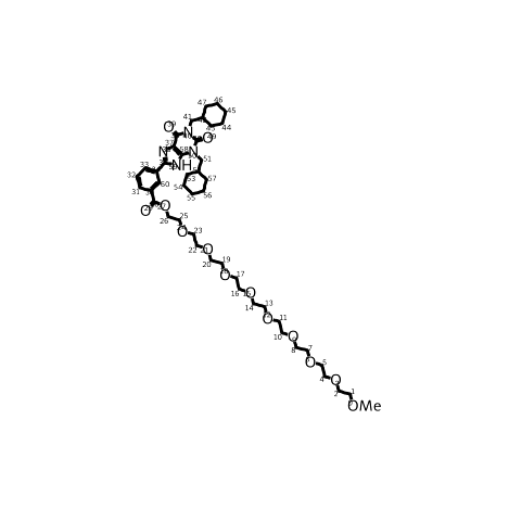 COCCOCCOCCOCCOCCOCCOCCOCCOCCOC(=O)c1cccc(-c2nc3c(=O)n(CC4CCCCC4)c(=O)n(CC4CCCCC4)c3[nH]2)c1